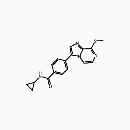 CSc1nccn2c(-c3ccc(C(=O)NC4CC4)cc3)cnc12